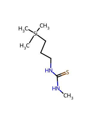 CNC(=S)NCCC[Si](C)(C)C